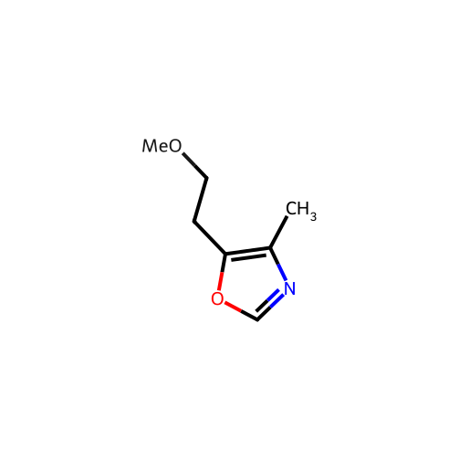 COCCc1ocnc1C